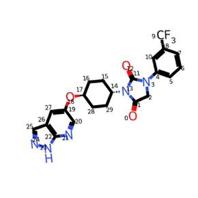 O=C1CN(c2cccc(C(F)(F)F)c2)C(=O)N1[C@H]1CC[C@H](Oc2cnc3[nH]ncc3c2)CC1